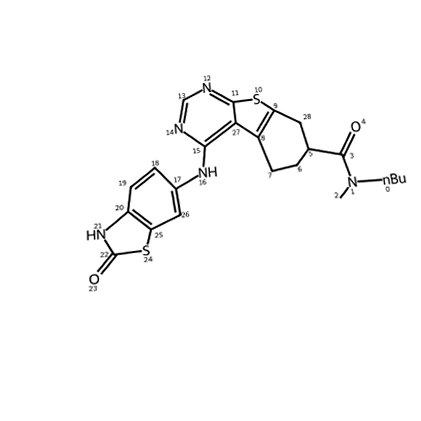 CCCCN(C)C(=O)C1CCc2c(sc3ncnc(Nc4ccc5[nH]c(=O)sc5c4)c23)C1